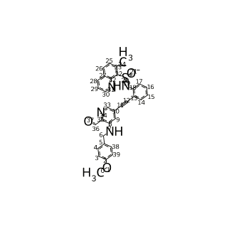 COc1ccc(CNc2cc(C#Cc3ccccc3N[S+]([O-])c3c(C)ccc4cccnc34)cnc2C=O)cc1